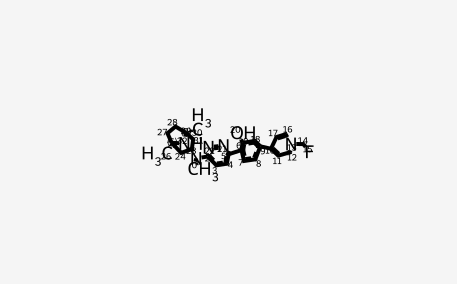 CN(c1ccc(-c2ccc(C3=CCN(CF)C=C3)cc2O)nn1)C1C[C@]2(C)CC[C@](C)(C1)N2